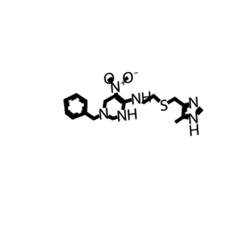 Cc1[nH]cnc1CSCCNC1=C([N+](=O)[O-])CN(Cc2ccccc2)CN1